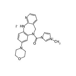 C[n+]1ccn(C(=O)N2Cc3cccnc3Nc3ccc(N4CCOCC4)cc32)c1.[I-]